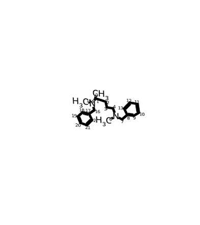 CC(C[CH]CN(C)Cc1ccccc1)N(C)Cc1ccccc1